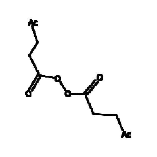 CC(=O)CCC(=O)OOC(=O)CCC(C)=O